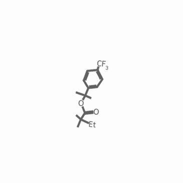 CCC(C)(C)C(=O)OC(C)(C)c1ccc(C(F)(F)F)cc1